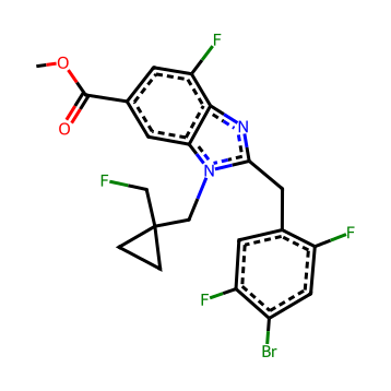 COC(=O)c1cc(F)c2nc(Cc3cc(F)c(Br)cc3F)n(CC3(CF)CC3)c2c1